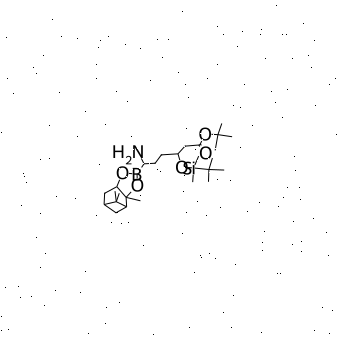 CC(C)(C)OC(=O)CC(CCC(N)B1OC2CC3CC(C3(C)C)C2(C)O1)O[Si](C)(C)C(C)(C)C